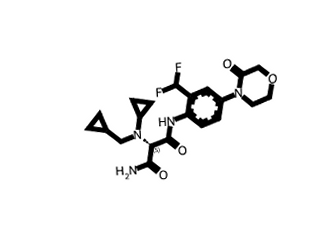 NC(=O)[C@@H](C(=O)Nc1ccc(N2CCOCC2=O)cc1C(F)F)N(CC1CC1)C1CC1